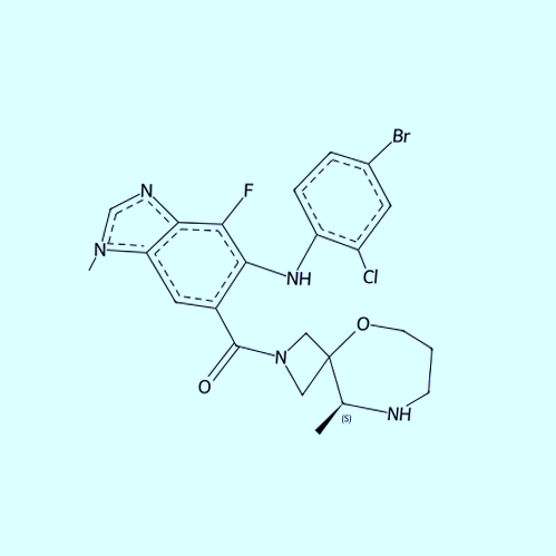 C[C@@H]1NCCCOC12CN(C(=O)c1cc3c(ncn3C)c(F)c1Nc1ccc(Br)cc1Cl)C2